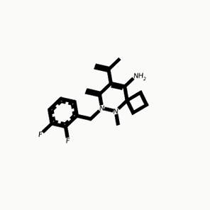 C=C(C)C1=C(N)C2(CCC2)N(C)N(Cc2cccc(F)c2F)C1=C